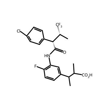 CC(C(=O)O)C(C)c1ccc(F)c(NC(=O)[C@H](c2ccc(Cl)cc2)[C@@H](C)C(F)(F)F)c1